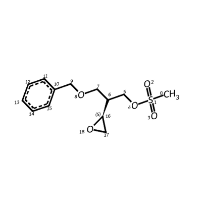 CS(=O)(=O)OCC(COCc1ccccc1)[C@H]1CO1